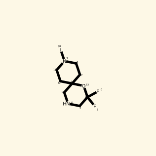 FC1(F)CNCC2(CCN(I)CC2)O1